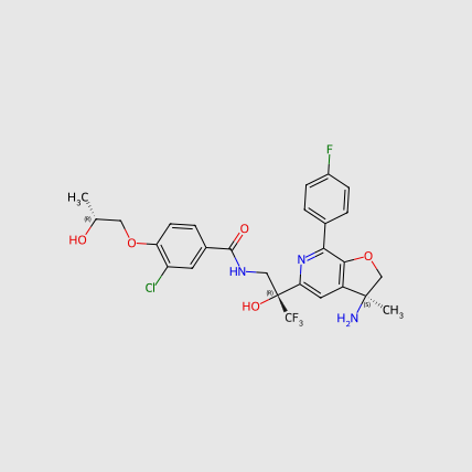 C[C@@H](O)COc1ccc(C(=O)NC[C@@](O)(c2cc3c(c(-c4ccc(F)cc4)n2)OC[C@@]3(C)N)C(F)(F)F)cc1Cl